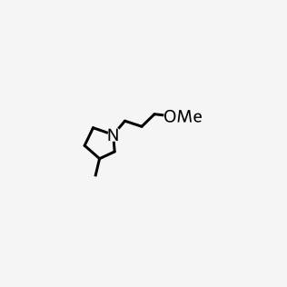 COCCCN1CCC(C)C1